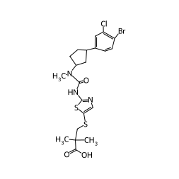 CN(C(=O)Nc1ncc(SCC(C)(C)C(=O)O)s1)C1CCC(c2ccc(Br)c(Cl)c2)C1